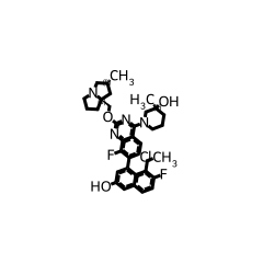 CCc1c(F)ccc2cc(O)cc(-c3c(Cl)cc4c(N5CCC[C@@](C)(O)C5)nc(OC[C@@]56CCCN5C[C@H](C)C6)nc4c3F)c12